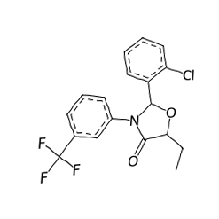 CCC1OC(c2ccccc2Cl)N(c2cccc(C(F)(F)F)c2)C1=O